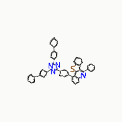 c1ccc(-c2ccc(-c3nc(-c4ccc(-c5ccccc5)cc4)nc(-c4ccc(-c5cccc6nc(-c7ccccc7)c7c8ccccc8sc7c56)cc4)n3)cc2)cc1